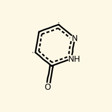 O=c1[c]c[c]n[nH]1